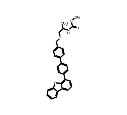 CC(C)(C)OC(=O)NC(CSCc1ccc(-c2ccc(-c3cccc4c3oc3ccccc34)cc2)cc1)C(=O)O